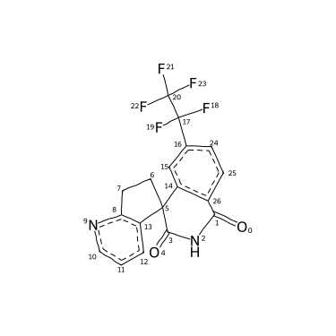 O=C1NC(=O)C2(CCc3ncccc32)c2cc(C(F)(F)C(F)(F)F)ccc21